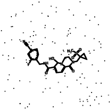 CS(=O)(=O)C1(CN2CCN3C(=CC=C(C(=O)NCc4ccc(C#N)cc4F)C3O)C2=O)CC1